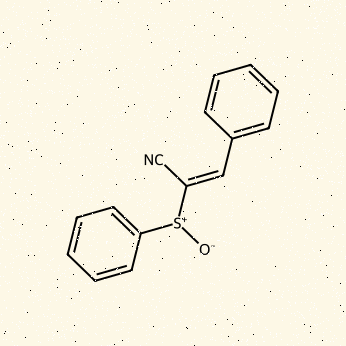 N#C/C(=C\c1ccccc1)[S+]([O-])c1ccccc1